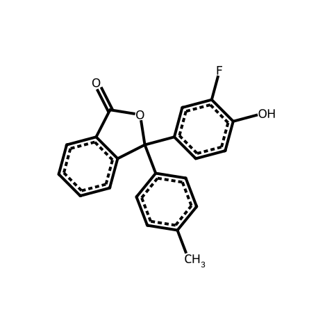 Cc1ccc(C2(c3ccc(O)c(F)c3)OC(=O)c3ccccc32)cc1